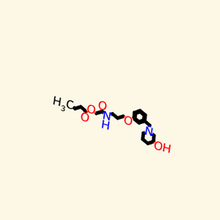 CCCC(=O)OCC(=O)NCCCOc1cccc(CN2CCCC(O)C2)c1